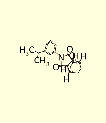 CC(C)c1cccc(N2C(=O)[C@@H]3[C@H]4CC[C@H](C(=O)C4)[C@@H]3C2=O)c1